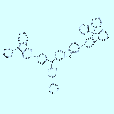 c1ccc(-c2ccc(N(c3ccc(-c4ccc5c(c4)c4ccccc4n5-c4ccccc4)cc3)c3ccc4c(c3)sc3cc(-c5ccc6c(c5)C(c5ccccc5)(c5ccccc5)c5ccccc5-6)ccc34)cc2)cc1